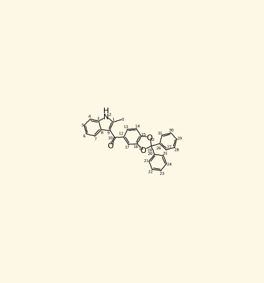 Cc1[nH]c2ccccc2c1C(=O)c1ccc2c(c1)OC(c1ccccc1)(c1ccccc1)O2